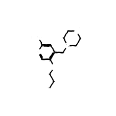 CCCOc1cnc(N)cc1CN1CCOCC1